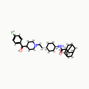 O=C(c1ccc(F)cc1)C1CCN(CC[C@H]2CC[C@H](NC(=O)C34CC5CC(CC(C5)C3)C4)CC2)CC1